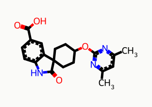 Cc1cc(C)nc(OC2CCC3(CC2)C(=O)Nc2ccc(C(=O)O)cc23)n1